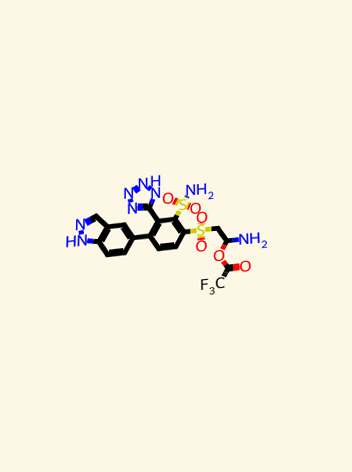 NC(CS(=O)(=O)c1ccc(-c2ccc3[nH]ncc3c2)c(-c2nnn[nH]2)c1S(N)(=O)=O)OC(=O)C(F)(F)F